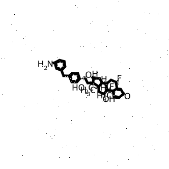 C[C@]12C=CC(=O)C=C1[C@@H](F)C[C@H]1[C@@H]3C[C@H]4O[C@@H](c5ccc(Cc6cccc(N)c6)cc5)C[C@@]4(C(=O)O)[C@@]3(C)C[C@H](O)[C@@]12F